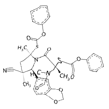 CN(C=O)[C@@](C)(SC(=O)Oc1ccccc1)C(=O)N1[C@@H](c2ccc3c(c2)OCO3)[C@@](C)(C#N)C[C@@]1(C)SC(=O)Oc1ccccc1